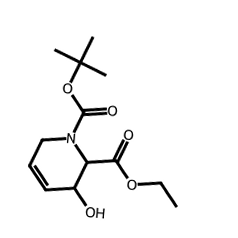 CCOC(=O)C1C(O)C=CCN1C(=O)OC(C)(C)C